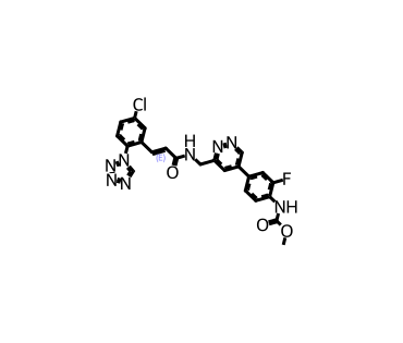 COC(=O)Nc1ccc(-c2cnnc(CNC(=O)/C=C/c3cc(Cl)ccc3-n3cnnn3)c2)cc1F